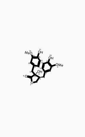 COc1cc(C[C@H]2COC(=O)[C@@]2(O)Cc2ccc(O)c(OC)c2)ccc1O